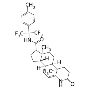 Cc1ccc(C(NC(=O)C2CC[C@H]3[C@@H]4CC=C5NC(=O)CC[C@]5(C)[C@@H]4CC[C@]23C)(C(F)(F)F)C(F)(F)F)cc1